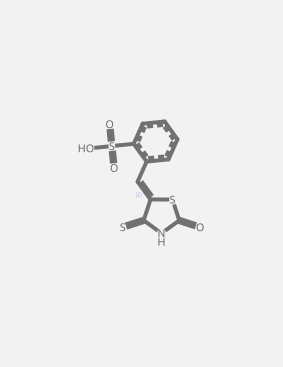 O=C1NC(=S)/C(=C/c2ccccc2S(=O)(=O)O)S1